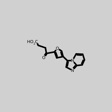 O=C(O)CCC(=O)c1cc(-c2cnc3ccccn23)co1